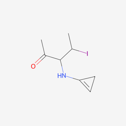 CC(=O)C(NC1=CC1)C(C)I